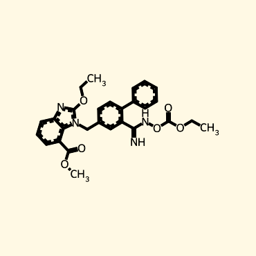 CCOC(=O)ONC(=N)c1cc(Cn2c(OCC)nc3cccc(C(=O)OC)c32)ccc1-c1ccccc1